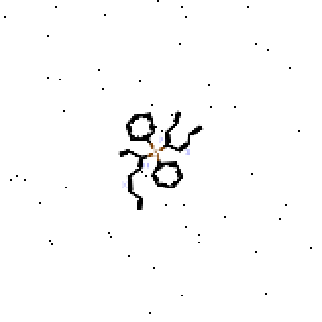 C=C/C=C\C=C(/C=C)S(C(/C=C\C=C)=C/C=C)(c1ccccc1)c1ccccc1